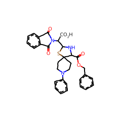 O=C(O)C(C1NC(C(=O)OCc2ccccc2)C2(CCN(c3ccccc3)CC2)S1)N1C(=O)c2ccccc2C1=O